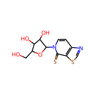 OCC1OC(n2ccc3ncsc3c2=S)C(O)C1O